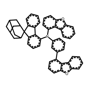 c1cc(-c2cccc3oc4ccccc4c23)cc(N(c2cccc3c2-c2ccccc2C32C3CC4CC(C3)CC2C4)c2cccc3oc4ccccc4c23)c1